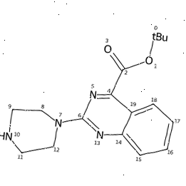 CC(C)(C)OC(=O)c1nc(N2CCNCC2)nc2ccccc12